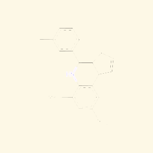 COc1cc([N+](=O)[O-])cc2c1NC(c1cccc(C)c1)C1CC=CC21